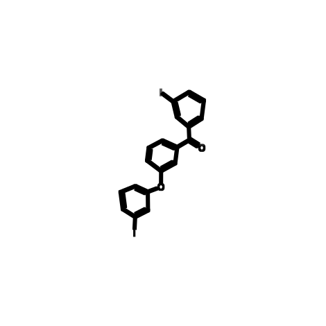 O=C(c1cccc(I)c1)c1cccc(Oc2cccc(I)c2)c1